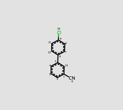 N#Cc1cccc(-c2ccc(Cl)cc2)c1